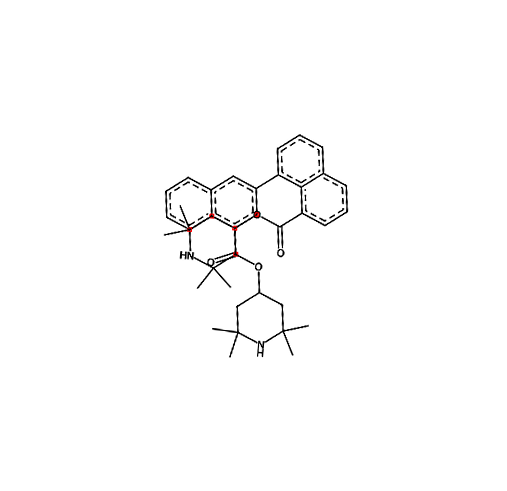 CC1(C)CC(OC(=O)c2cc(-c3cccc4cccc(C(=O)OC5CC(C)(C)NC(C)(C)C5)c34)cc3ccccc23)CC(C)(C)N1